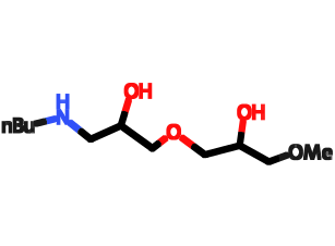 CCCCNCC(O)COCC(O)COC